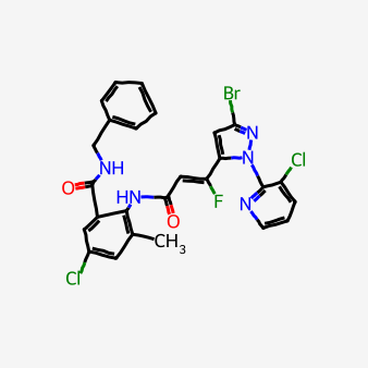 Cc1cc(Cl)cc(C(=O)NCc2ccccc2)c1NC(=O)C=C(F)c1cc(Br)nn1-c1ncccc1Cl